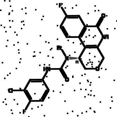 CCN(C(=O)Nc1ccc(F)c(Cl)c1)[C@H]1COCc2[nH]c(=O)c3cc(F)ccc3c21